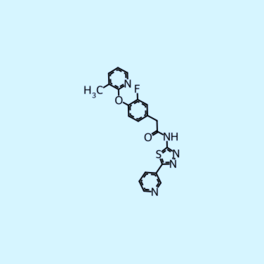 Cc1cccnc1Oc1ccc(CC(=O)Nc2nnc(-c3cccnc3)s2)cc1F